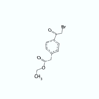 CCOC(=O)Cc1ccc(C(=O)CBr)cc1